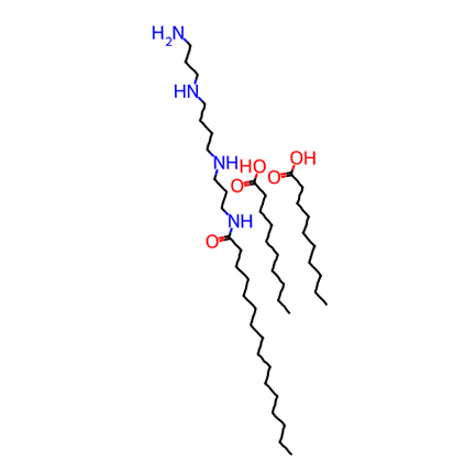 CCCCCCCCCC(=O)O.CCCCCCCCCC(=O)O.CCCCCCCCCCCCCCCC(=O)NCCCNCCCCNCCCN